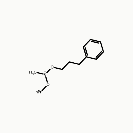 CCCO[SiH](C)OCCCc1ccccc1